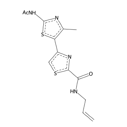 C=CCNC(=O)c1nc(-c2sc(NC(C)=O)nc2C)cs1